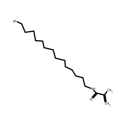 C=C(C)C(=O)NCCCCCCCCCCCCCCC(C)C